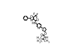 CC(C)(C)NC(=O)OC1CCN(c2ccc(NC(=O)c3nc(-c4ccccc4)oc3C(F)(F)F)cn2)C1